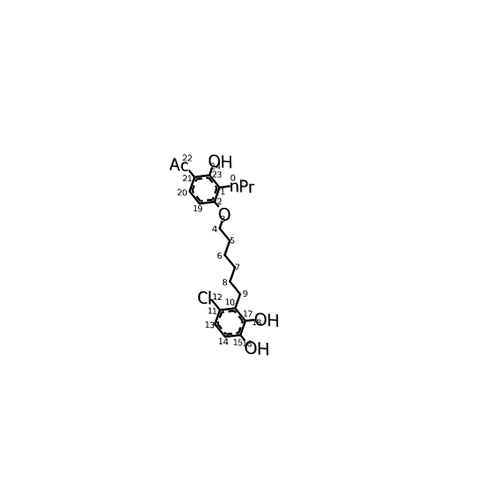 CCCc1c(OCCCCCCc2c(Cl)ccc(O)c2O)ccc(C(C)=O)c1O